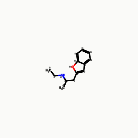 CCNC(C)Cc1cc2ccccc2o1